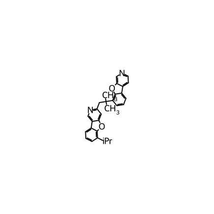 CC(C)c1cccc2c1oc1cc(CC(C)(C)c3cccc4c3oc3cnccc34)ncc12